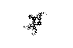 C=CCO[C@@H]1C[C@H]([C@@H](O)[C@H](Cc2ccccc2)NC(=O)c2cc(C(=O)N3CCC[C@@H]3c3nc(C)cs3)cc(-c3ncco3)c2)N(C(=O)OC(C)(C)C)C1